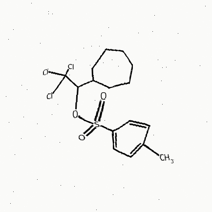 Cc1ccc(S(=O)(=O)OC(C2CCCCCC2)C(Cl)(Cl)Cl)cc1